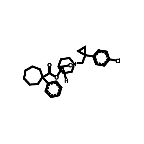 O=C(O[C@H]1C[N+]2(CC3(c4ccc(Cl)cc4)CC3)CCC1CC2)C1(c2ccccc2)CCCCCC1